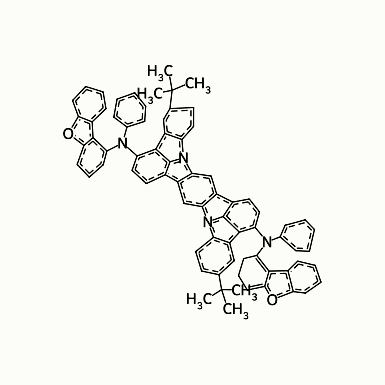 CC(C)(C)c1ccc2c(c1)c1c(N(C3=c4c(oc5ccccc45)=CCC3)c3ccccc3)ccc3c4cc5c(cc4n2c31)c1ccc(N(c2ccccc2)c2cccc3oc4ccccc4c23)c2c3cc(C(C)(C)C)ccc3n5c12